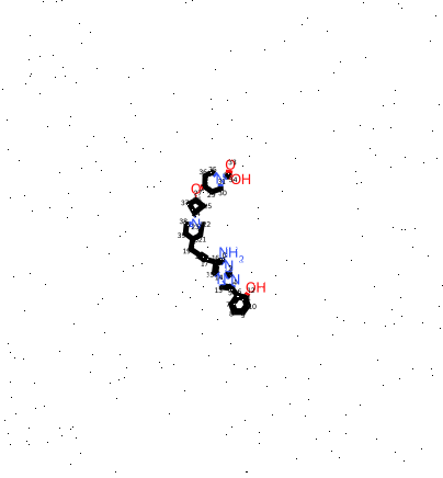 Nc1nc2nc(-c3ccccc3O)cn2cc1C#CCC1CCN([C@H]2C[C@@H](OC3CCN(C(=O)O)CC3)C2)CC1